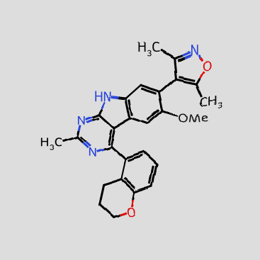 COc1cc2c(cc1-c1c(C)noc1C)[nH]c1nc(C)nc(-c3cccc4c3CCCO4)c12